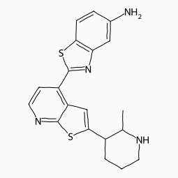 CC1NCCCC1c1cc2c(-c3nc4cc(N)ccc4s3)ccnc2s1